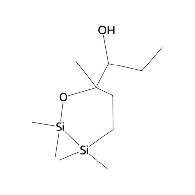 CCC(O)C1(C)CC[Si](C)(C)[Si](C)(C)O1